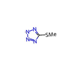 CSC1=N[N]N=N1